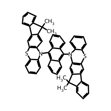 CC1(C)c2ccccc2-c2cc3c(cc21)N(c1c2ccccc2c(N2c4ccccc4Sc4cc5c(cc42)C(C)(C)c2ccccc2-5)c2ccccc12)c1ccccc1S3